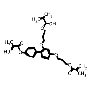 C=C(C)C(=O)OCCCOc1ccc(-c2ccc(OC(=O)C(=C)C)cc2)c(OCCCOC(O)C(=C)C)c1